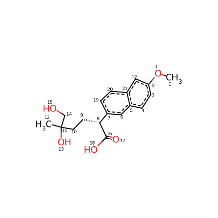 COc1ccc2cc([C@@H](CCC(C)(O)CO)C(=O)O)ccc2c1